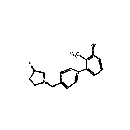 Cc1c(Br)cccc1-c1ccc(CN2CCC(F)C2)cc1